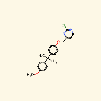 COc1ccc(C(C)(C)c2ccc(OCc3ccnc(Cl)n3)cc2)cc1